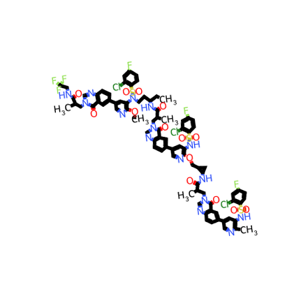 CCC(CCN(c1cc(-c2ccc3ncn(CC(C)C(=O)NCC(F)(F)F)c(=O)c3c2)cnc1OC)S(=O)(=O)c1ccc(F)cc1Cl)NC(=O)C(C)Cn1cnc2ccc(-c3cnc(OCC4CC4NC(=O)C(C)Cn4cnc5ccc(-c6cnc(C)c(NS(=O)(=O)c7ccc(F)cc7Cl)c6)cc5c4=O)c(NS(=O)(=O)c4ccc(F)cc4Cl)c3)cc2c1=O